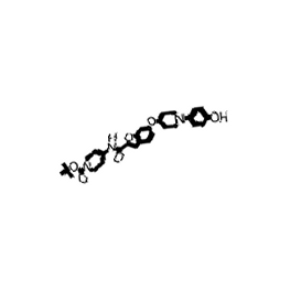 CC(C)(C)OC(=O)N1CCC(NC(=O)c2cc3ccc(OC4CCN(c5ccc(O)cc5)CC4)cc3o2)CC1